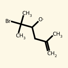 C=C(C)CC([O])C(C)(C)Br